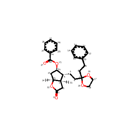 O=C1C[C@@H]2[C@@H](CCC3(CCc4ccccc4)OCCO3)[C@H](OC(=O)c3ccccc3)C[C@@H]2O1